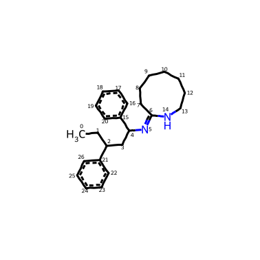 CCC(CC(N=C1CCCCCCCN1)c1ccccc1)c1ccccc1